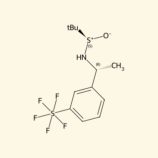 C[C@@H](N[S@+]([O-])C(C)(C)C)c1cccc(S(F)(F)(F)(F)F)c1